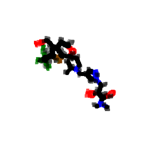 C[C@H]1C[C@@]2(CCN1Cc1cnn(C[C@@H](O)C(=O)N(C)C)c1)OCCc1c2sc(C(F)(F)F)c1CO